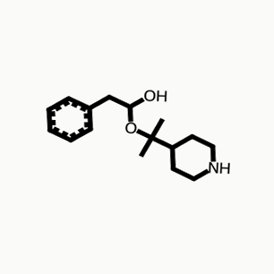 CC(C)(OC(O)Cc1ccccc1)C1CCNCC1